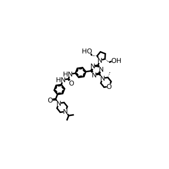 CC(C)N1CCN(C(=O)c2ccc(NC(=O)Nc3ccc(-c4nc(N5CCOC[C@H]5C)nc(N5[C@H](CO)CC[C@@H]5CO)n4)cc3)cc2)CC1